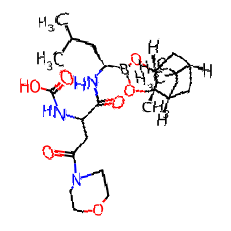 CC(C)C[C@H](NC(=O)C(CC(=O)N1CCOCC1)NC(=O)O)B1O[C@@H]2C[C@@H]3C[C@@H](C3(C)C)[C@]2(C)O1